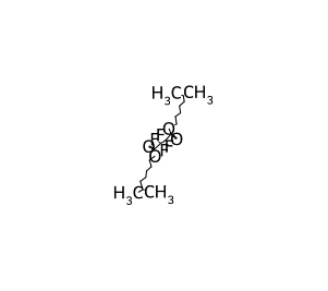 CC(C)CCCCCOC(=O)C(F)(F)C(F)(F)C(=O)OCCCCCC(C)C